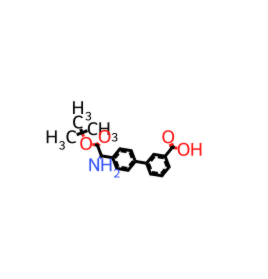 CC(C)(C)OC(=O)C(N)c1ccc(-c2cccc(C(=O)O)c2)cc1